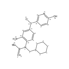 C=C(N(CC1CCCCC1)c1ccc([S+]([O-])c2ccc(O)nc2)cc1N)C(C)(C)C